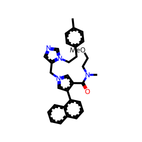 COCCN(C)C(=O)c1cn(Cc2cncn2CCc2ccc(C)cc2)cc1-c1cccc2ccccc12